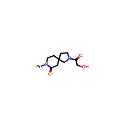 CC(C)N1CCC2(CCN(C(=O)CO)C2)CC1=O